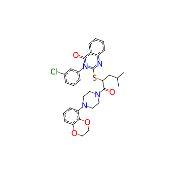 CC(C)CC(Sc1nc2ccccc2c(=O)n1-c1cccc(Cl)c1)C(=O)N1CCN(c2cccc3c2OCCO3)CC1